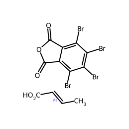 C/C=C/C(=O)O.O=C1OC(=O)c2c(Br)c(Br)c(Br)c(Br)c21